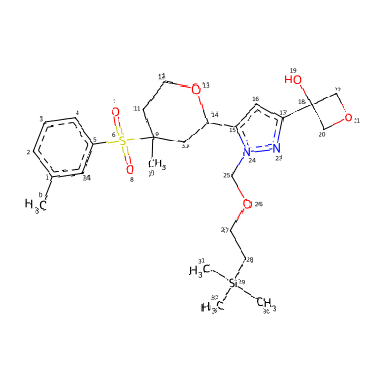 Cc1cccc(S(=O)(=O)C2(C)CCOC(c3cc(C4(O)COC4)nn3COCC[Si](C)(C)C)C2)c1